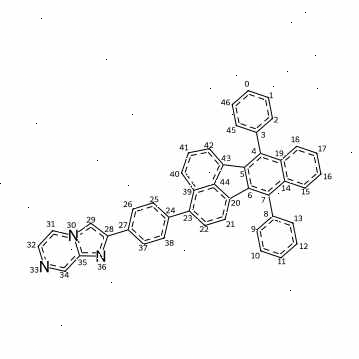 c1ccc(-c2c3c(c(-c4ccccc4)c4ccccc24)-c2ccc(-c4ccc(-c5cn6ccncc6n5)cc4)c4cccc-3c24)cc1